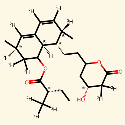 [2H]C1=C([2H])[C@]([2H])(C)[C@H](CCC2C[C@@H](O)C([2H])([2H])C(=O)O2)[C@@H]2C1=C([2H])[C@]([2H])(C)C([2H])([2H])C2OC(=O)[C@H](CC)C([2H])([2H])[2H]